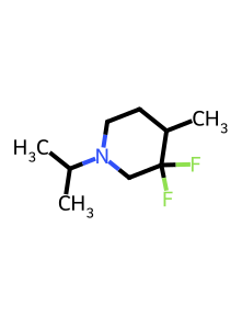 CC(C)N1CCC(C)C(F)(F)C1